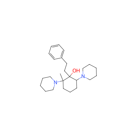 CC1(N2CCCCC2)CCCC(N2CCCCC2)C1(O)CCc1ccccc1